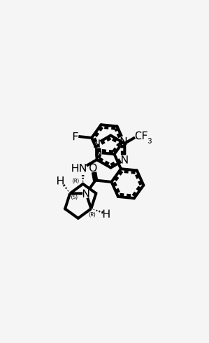 O=C(c1ccccc1-c1nccc(F)n1)N1[C@@H]2CC[C@H]1[C@H](Nc1cnc(C(F)(F)F)cn1)C2